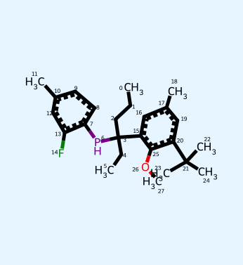 CCCC(CC)(Pc1ccc(C)cc1F)c1cc(C)cc(C(C)(C)C)c1OC